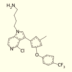 Cc1cc(Oc2ccc(C(F)(F)F)cc2)cc(-c2cn(CCCCN)c3ccnc(Cl)c23)c1